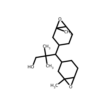 CC(C)(CO)C(C1CCC2OC2(C)C1)C1CCC2OC2(C)C1